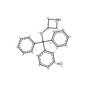 Cl.c1ccc(C(OC2CNC2)(c2ccccc2)c2ccccc2)cc1